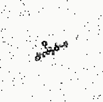 O=C(CS1=C2C(=C(Nc3ccc(OCc4cscn4)c(Cl)c3)N=CN2Cc2ccccc2)C=C1)NN1CCOCC1